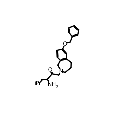 CC(C)CC(N)C(=O)CN1CCCc2cc(OCc3ccccc3)ccc2C1